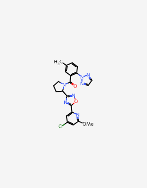 COc1cc(Cl)cc(-c2nc(C3CCCN3C(=O)c3cc(C)ccc3-n3nccn3)no2)n1